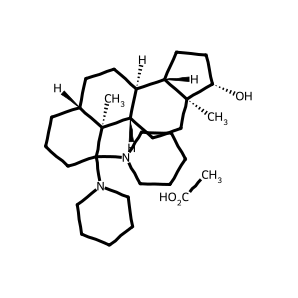 CC(=O)O.C[C@]12CC[C@H]3[C@@H](CC[C@H]4CCCC(N5CCCCC5)(N5CCCCC5)[C@@]43C)[C@@H]1CC[C@@H]2O